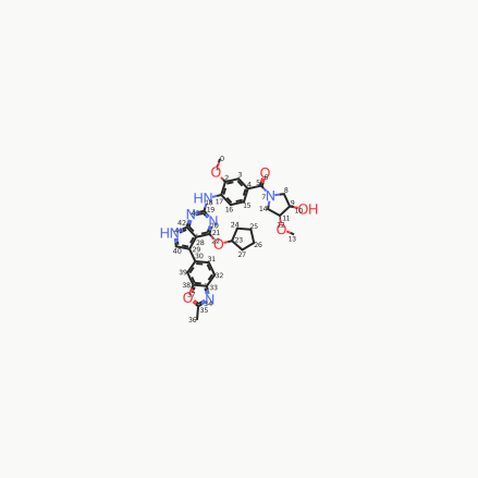 COc1cc(C(=O)N2CC(O)[C@@H](OC)C2)ccc1Nc1nc(OC2CCCC2)c2c(-c3ccc4nc(C)oc4c3)c[nH]c2n1